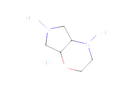 CN1CC2[C@H](C1)OCCN2C